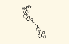 CCCNC(=O)OC1=Nc2cc(OCCCCN3CCN(c4cccc(Cl)c4Cl)CC3)ccc2CC1